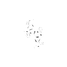 CC(=O)Nc1ccc(/C=C/c2ccc(NC(C)=O)cc2S(=O)(=O)N2CCC2)c(S(=O)(=O)N2CCC2)c1